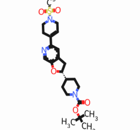 CC(C)(C)OC(=O)N1CCC([C@H]2Cc3cc(C4=CCN(S(C)(=O)=O)CC4)ncc3O2)CC1